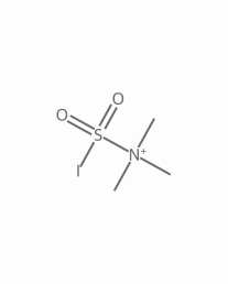 C[N+](C)(C)S(=O)(=O)I